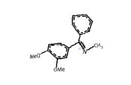 C/N=C(\c1ccccc1)c1ccc(OC)c(OC)c1